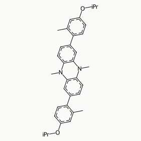 Cc1cc(OC(C)C)ccc1-c1ccc2c(c1)N(C)c1ccc(-c3ccc(OC(C)C)cc3C)cc1N2C